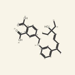 CCC(O)(/C=C/C=C(/C)c1cccc(OCc2ccc(C(=O)O)c(C(=O)O)c2)c1)CC